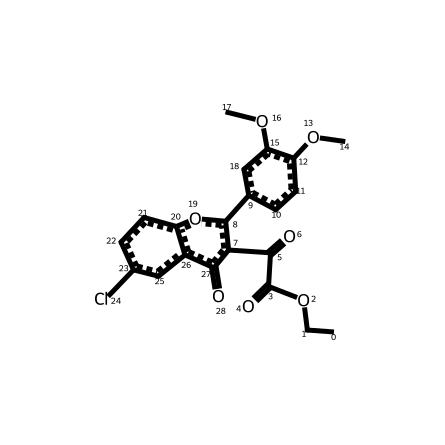 CCOC(=O)C(=O)c1c(-c2ccc(OC)c(OC)c2)oc2ccc(Cl)cc2c1=O